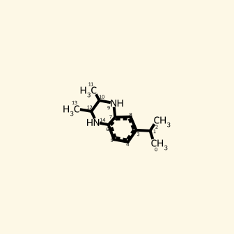 CC(C)c1ccc2c(c1)NC(C)C(C)N2